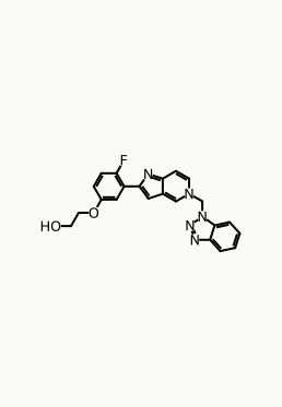 OCCOc1ccc(F)c(-c2cc3cn(Cn4nnc5ccccc54)ccc-3n2)c1